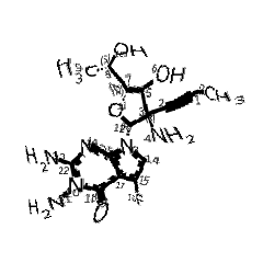 CC#C[C@@]1(N)C(O)[C@@H]([C@H](C)O)O[C@H]1n1cc(F)c2c(=O)n(N)c(N)nc21